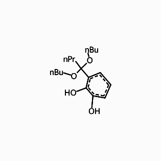 CCCCOC(CCC)(OCCCC)c1cccc(O)c1O